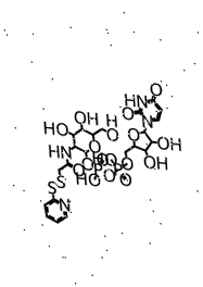 O=C(CSSc1ccccn1)NC1C(OP(=O)(O)OP(=O)(O)OCC2OC(n3ccc(=O)[nH]c3=O)C(O)C2O)OC(CO)C(O)C1O